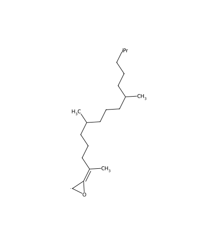 CC(CCCC(C)CCCC(C)CCCC(C)C)=C1[CH]O1